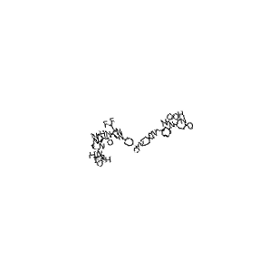 Cn1c(=O)n(C2CCC(=O)NC2=O)c2cccc(CN3CC4(CCN(C(=O)[C@H]5CC[C@H](n6cc(NC(=O)c7cnn8ccc(N9C[C@H]%10C[C@@H]9CO%10)nc78)c(C(F)F)n6)CC5)CC4)C3)c21